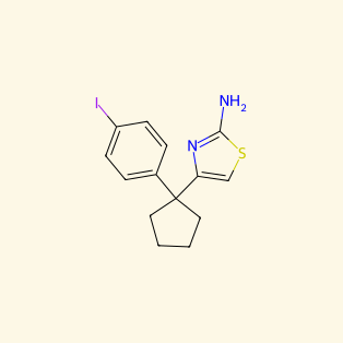 Nc1nc(C2(c3ccc(I)cc3)CCCC2)cs1